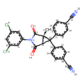 C[C@]12C(=O)N(c3cc(Cl)cc(Cl)c3)C(=O)C1C2(c1ccc(C#N)cc1)c1ccc(C#N)cc1